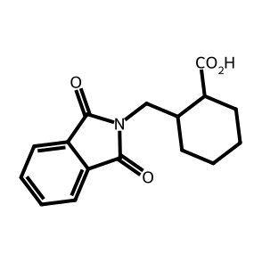 O=C(O)C1CCCCC1CN1C(=O)c2ccccc2C1=O